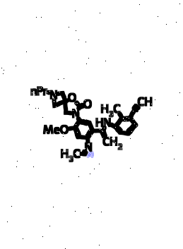 C#Cc1cccc(NC(=C)c2cc(N3CC4(CN(CCC)C4)OC3=O)c(OC)cc2/N=C\C)c1C